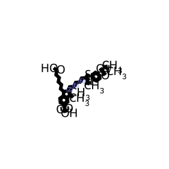 CN(C)S(=O)(=O)c1ccc2c(c1)sc(/C=C/C=C/C=C1/C(CCCCCC(=O)O)c3ccc(S(=O)(=O)O)cc3C1(C)C)[n+]2C